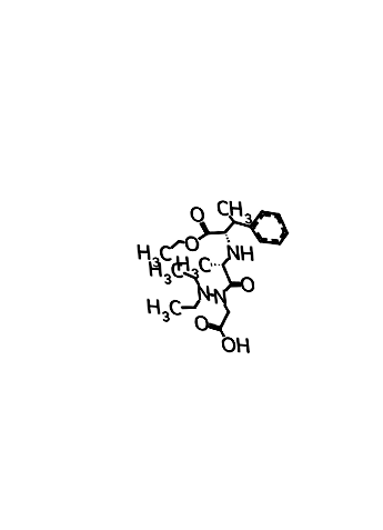 CCOC(=O)[C@@H](N[C@@H](C)C(=O)N(CC(=O)O)N(CC)CC)C(C)c1ccccc1